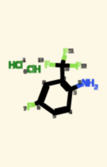 Cl.Cl.Nc1ccc(F)cc1C(F)(F)F